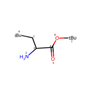 [CH2]CC(C)CC(N)C(=O)OC(C)(C)C